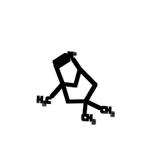 CC1(C)CC2CC(C)(C#[N+]2)C1